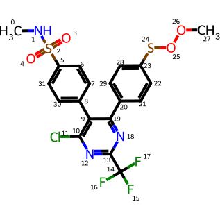 CNS(=O)(=O)c1ccc(-c2c(Cl)nc(C(F)(F)F)nc2-c2ccc(SOOC)cc2)cc1